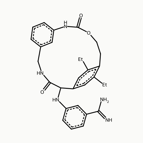 CCc1cc2cc(CC)c1CCOC(=O)Nc1cccc(c1)CNC(=O)C2Nc1cccc(C(=N)N)c1